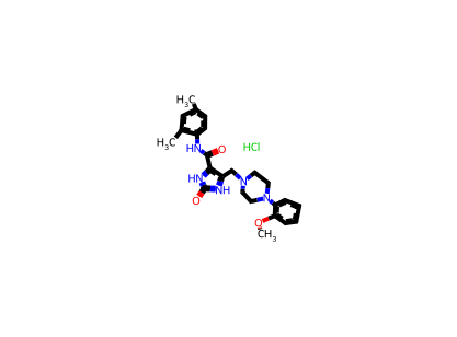 COc1ccccc1N1CCN(Cc2[nH]c(=O)[nH]c2C(=O)Nc2ccc(C)cc2C)CC1.Cl